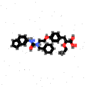 CCOC(Cc1ccc(OCCN(CC2CCCCC2)C(=O)Nc2ccc3c(c2)CCC3)cc1)C(=O)O